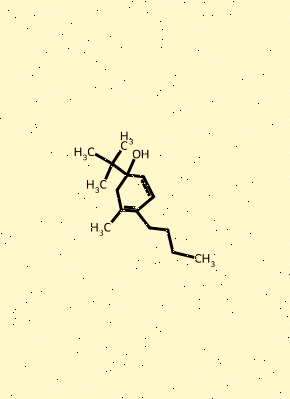 CCCCC1=C(C)CC(O)(C(C)(C)C)C=C1